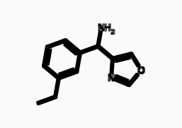 CCc1cccc(C(N)c2cocn2)c1